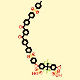 COc1ccc(C(c2ccc(Oc3ccc(S(=O)(=O)c4ccc(-c5ccc(C(=O)c6cccc(C(=O)c7ccc(-c8ccc(S(=O)(=O)c9ccc(C)cc9)cc8)cc7)c6)cc5)cc4)cc3)c(S(=O)(=O)O)c2)(C(F)(F)F)C(F)(F)F)cc1S(=O)(=O)O